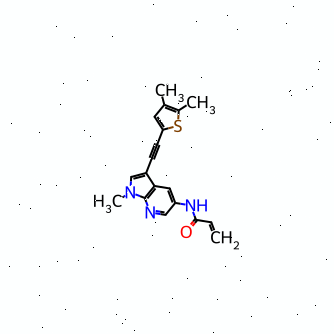 C=CC(=O)Nc1cnc2c(c1)c(C#Cc1cc(C)c(C)s1)cn2C